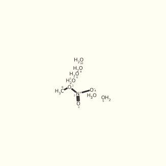 CO[N+](=O)[O-].O.O.O.O.O.O